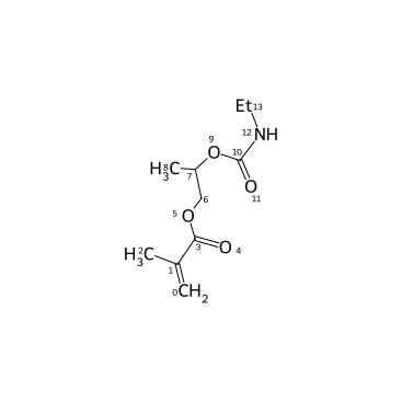 C=C(C)C(=O)OCC(C)OC(=O)NCC